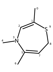 CC1=CN(C)C(C)=CCS1